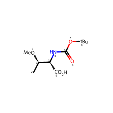 CO[C@H](C)[C@@H](NC(=O)OC(C)(C)C)C(=O)O